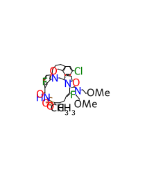 COCCN(CCOC)C(=O)[C@H]1/C(F)=C/C[C@H](C)[C@@H](C)S(=O)(=O)NC(=O)c2ccc3c(c2F)N2CCCCc4cc(Cl)cc(c4CO3)[C@]3(CCCN13)C2